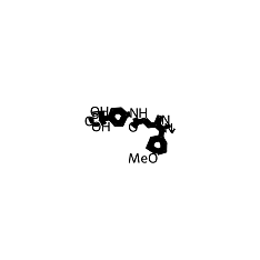 COc1ccc(-c2c(C=CC(=O)Nc3ccc(C(C)(C)P(=O)(O)O)cc3)cnn2C)cc1